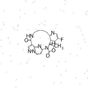 CC1C(F)=CN=C2CCCCNC(=O)c3cnn4ccc(nc34)N3C(=O)OC[C@@H]3C21